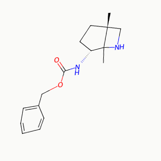 CC12NC[C@@]1(C)CC[C@H]2NC(=O)OCc1ccccc1